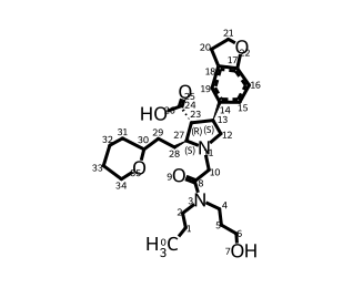 CCCN(CCCO)C(=O)CN1C[C@H](c2ccc3c(c2)CCO3)[C@@H](C(=O)O)[C@@H]1CCC1CCCCO1